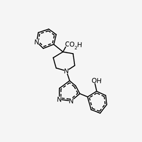 O=C(O)C1(c2cccnc2)CCN(c2cnnc(-c3ccccc3O)c2)CC1